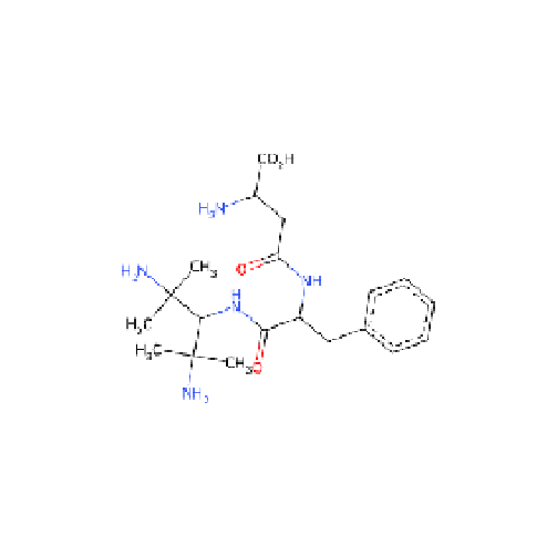 CC(C)(N)C(NC(=O)C(Cc1ccccc1)NC(=O)CC(N)C(=O)O)C(C)(C)N